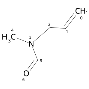 [CH]=CCN(C)C=O